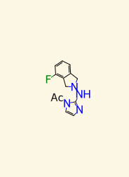 CC(=O)n1ccnc1NN1Cc2cccc(F)c2C1